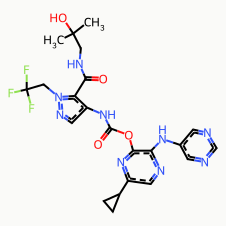 CC(C)(O)CNC(=O)c1c(NC(=O)Oc2nc(C3CC3)cnc2Nc2cncnc2)cnn1CC(F)(F)F